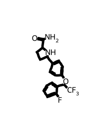 NC(=O)C1CCC(c2ccc(OC(c3ccccc3F)C(F)(F)F)cc2)N1